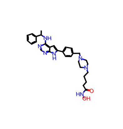 CC(Nc1ncnc2[nH]c(-c3ccc(CN4CCN(CCCCC(=O)NO)CC4)cc3)cc12)c1ccccc1